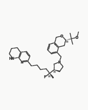 COC(C)(C)[C@@H]1Cc2c(cccc2CN2CC[C@@H]([C@](C)(F)CCCCc3ccc4c(n3)NCCC4)C2)CO1